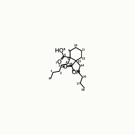 CCCCCC1(C(=O)O)CCCCC1(CCCCC)C(=O)O